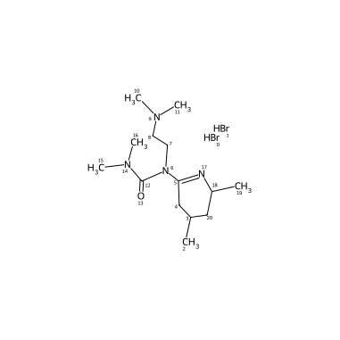 Br.Br.CC1CC(N(CCN(C)C)C(=O)N(C)C)=NC(C)C1